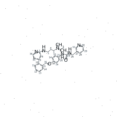 CN(C)CCCNc1cc(-c2ccccc2COc2ccc(NC(=O)NCc3cccnc3)cc2)ccn1